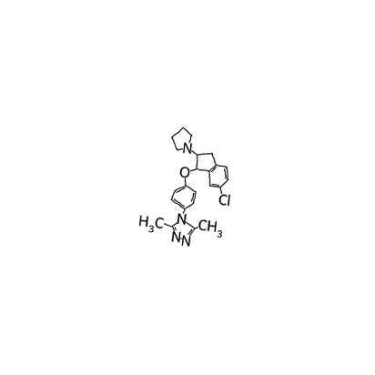 Cc1nnc(C)n1-c1ccc(OC2c3cc(Cl)ccc3CC2N2CCCC2)cc1